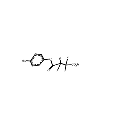 CC(C)(C)c1ccc(OC(=O)C(F)(F)C(F)(F)C(=O)O)cc1